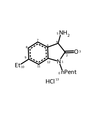 CCCCCN1C(=O)C(N)c2ccc(CC)cc21.Cl